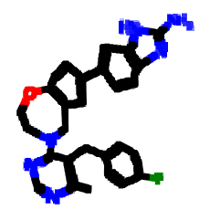 Cc1ncnc(N2CCOc3ccc(-c4ccc5nc(N)[nH]c5c4)cc3C2)c1Cc1ccc(F)cc1